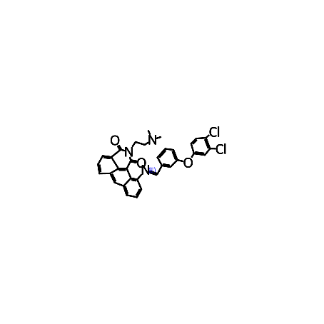 CN(C)CCN1C(=O)c2cccc3cc4cccc(/N=C/c5cccc(Oc6ccc(Cl)c(Cl)c6)c5)c4c(c23)C1=O